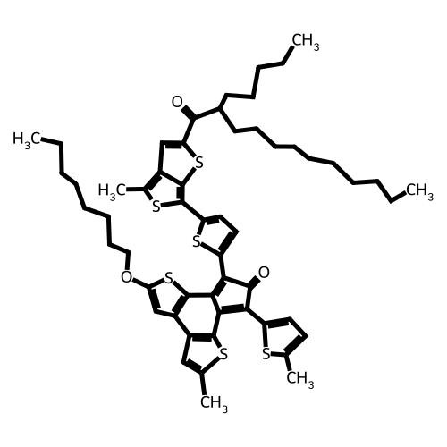 CCCCCCCCCCC(CCCCC)C(=O)c1cc2c(C)sc(-c3ccc(C4=c5c(c6sc(C)cc6c6cc(OCCCCCCCC)sc56)=C(c5ccc(C)s5)C4=O)s3)c2s1